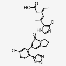 C/C=C(\C=C(/C)c1[nH]c([C@@H]2CCc3cc(-c4cc(Cl)ccc4-n4cnnn4)cc(=O)n32)nc1Cl)CC(=O)O